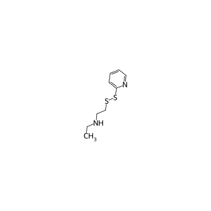 CCNCCSSc1ccccn1